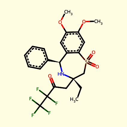 CC[C@]1(CC(=O)C(F)(F)C(F)(F)F)CS(=O)(=O)c2cc(OC)c(OC)cc2[C@H](c2ccccc2)N1